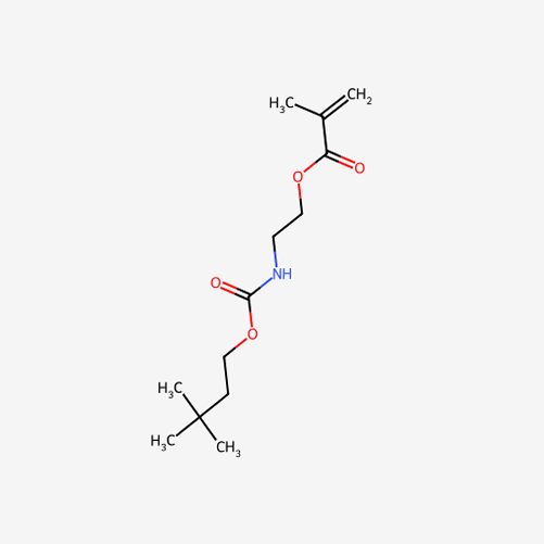 C=C(C)C(=O)OCCNC(=O)OCCC(C)(C)C